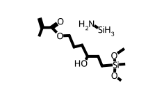 C=C(C)C(=O)OCCCC(O)CC[Si](C)(OC)OC.N[SiH3]